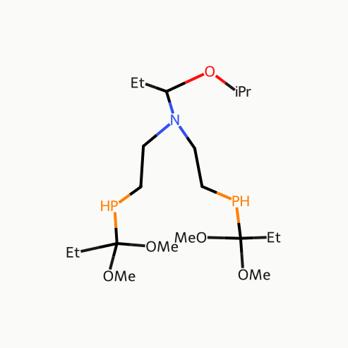 CCC(OC(C)C)N(CCPC(CC)(OC)OC)CCPC(CC)(OC)OC